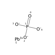 O=P([O-])([O-])[O-].[Pb+3]